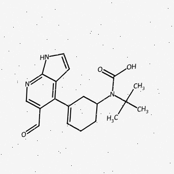 CC(C)(C)N(C(=O)O)C1CCC=C(c2c(C=O)cnc3[nH]ccc23)C1